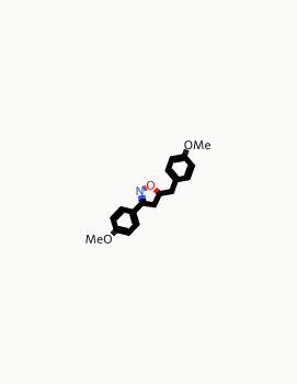 COc1ccc(CC2CC(c3ccc(OC)cc3)=NO2)cc1